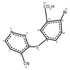 N#Cc1ccnnc1Sc1ccc(Br)c(C(=O)O)c1